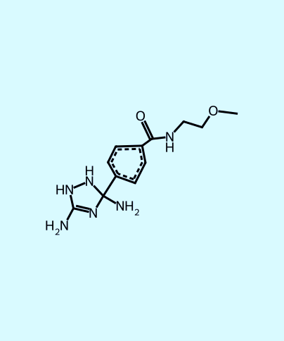 COCCNC(=O)c1ccc(C2(N)N=C(N)NN2)cc1